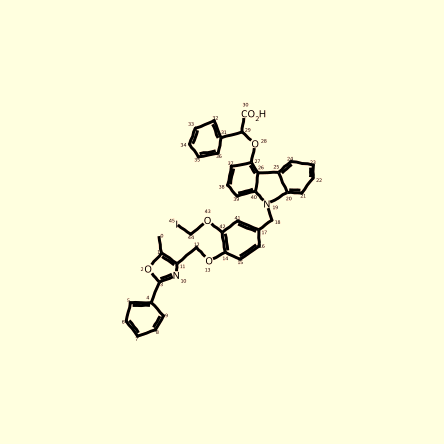 Cc1oc(-c2ccccc2)nc1COc1ccc(Cn2c3ccccc3c3c(OC(C(=O)O)c4ccccc4)cccc32)cc1OCI